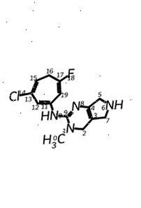 CN1CC2=C(CNC2)N=C1NC1=CC(Cl)=CCC(F)=C1